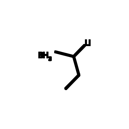 B.[Li][CH](C)CC